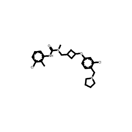 Cc1c(Cl)cccc1NC(=O)N(C)CC1CC(Oc2ccc(CN3CCCC3)c(Cl)c2)C1